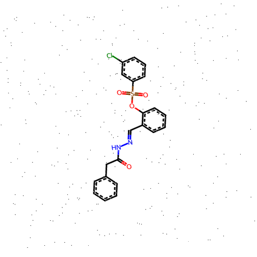 O=C(Cc1ccccc1)NN=Cc1ccccc1OS(=O)(=O)c1cccc(Cl)c1